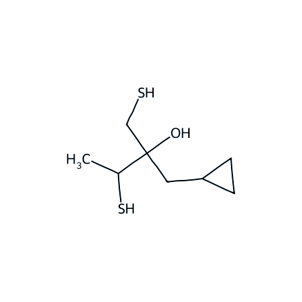 CC(S)C(O)(CS)CC1CC1